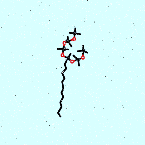 CCCCCCCCCCCC[Si](C)(O[Si](C)(C)O[Si](C)(C)C)O[Si](C)(C)O[Si](C)(C)O[Si](C)(C)C